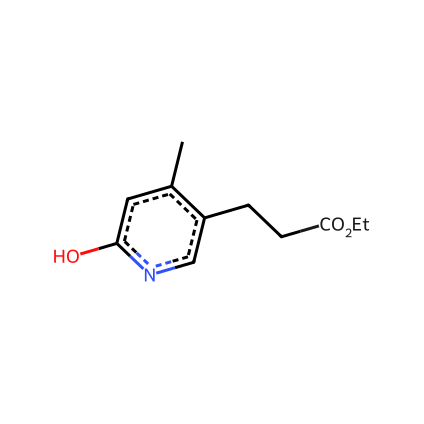 CCOC(=O)CCc1cnc(O)cc1C